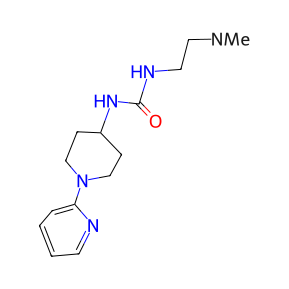 CNCCNC(=O)NC1CCN(c2ccccn2)CC1